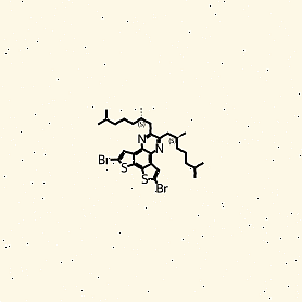 CC(C)CCC[C@H](C)Cc1nc2c3cc(Br)sc3c3sc(Br)cc3c2nc1C[C@@H](C)CCCC(C)C